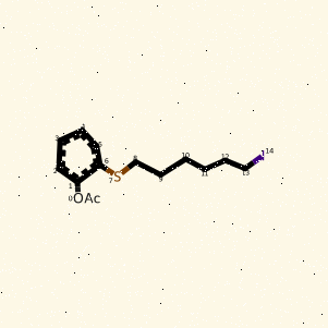 CC(=O)Oc1ccccc1SCCCCCCI